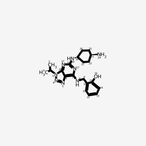 CC(C)n1nnc2c(NCc3ccccc3O)nc(N[C@H]3CC[C@H](N)CC3)nc21